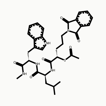 CNC(=O)[C@H](Cc1c[nH]c2ccccc12)NC(=O)[C@H](CC(C)C)NC(=O)[C@H](CCCN1C(=O)c2ccccc2C1=O)SC(C)=O